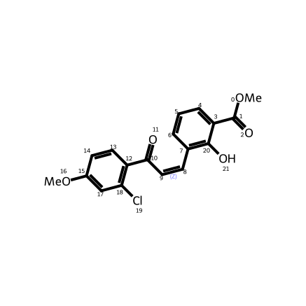 COC(=O)c1cccc(/C=C\C(=O)c2ccc(OC)cc2Cl)c1O